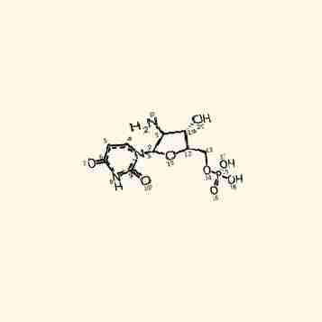 NC1[C@H](n2ccc(=O)[nH]c2=O)O[C@H](COP(=O)(O)O)[C@H]1O